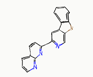 c1cnc2nc(-c3cc4c(cn3)sc3ccccc34)ccc2c1